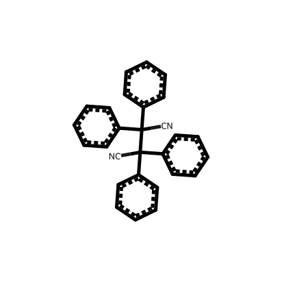 N#CC(c1ccccc1)(c1ccccc1)C(C#N)(c1ccccc1)c1ccccc1